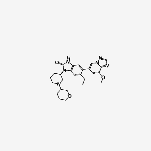 CCc1cc2c(cc1-c1cc(OC)c3ncnn3c1)[nH]c(=O)n2[C@@H]1CCCN(C2CCCOC2)C1